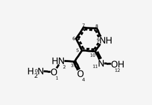 NONC(=O)c1ccc[nH]c1=NO